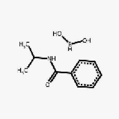 CC(C)NC(=O)c1ccccc1.OBO